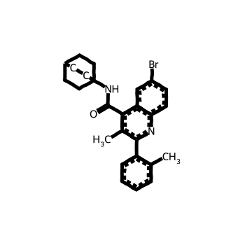 Cc1ccccc1-c1nc2ccc(Br)cc2c(C(=O)NC23CCC(CC2)CC3)c1C